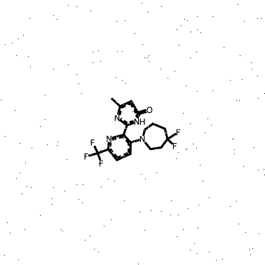 Cc1cc(=O)[nH]c(-c2nc(C(F)(F)F)ccc2N2CCCC(F)(F)CC2)n1